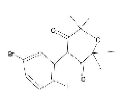 CC1(C)OC(C)(C)C(=O)C(c2cc(Br)ccc2I)C1=O